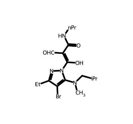 CCCNC(=O)/C(C=O)=C(\O)n1nc(CC)c(Br)c1N(C)CC(C)C